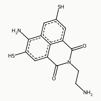 NCCN1C(=O)c2cc(S)cc3c(N)c(S)cc(c23)C1=O